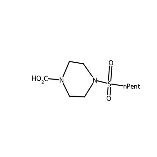 CCCCCS(=O)(=O)N1CCN(C(=O)O)CC1